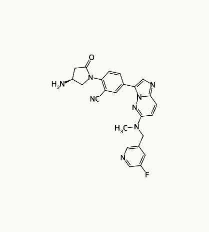 CN(Cc1cncc(F)c1)c1ccc2ncc(-c3ccc(N4C[C@@H](N)CC4=O)c(C#N)c3)n2n1